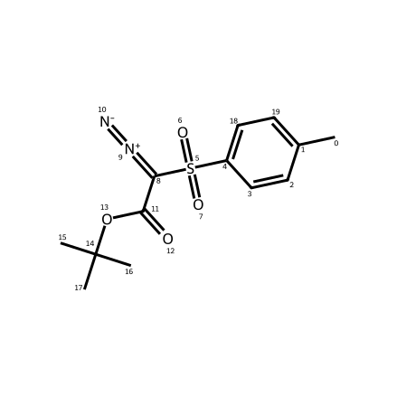 Cc1ccc(S(=O)(=O)C(=[N+]=[N-])C(=O)OC(C)(C)C)cc1